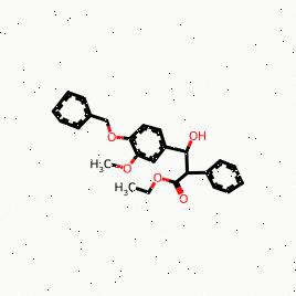 CCOC(=O)C(c1ccccc1)C(O)c1ccc(OCc2ccccc2)c(OC)c1